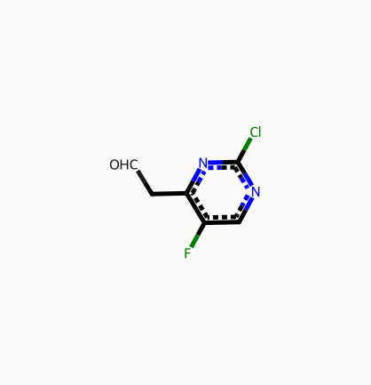 O=CCc1nc(Cl)ncc1F